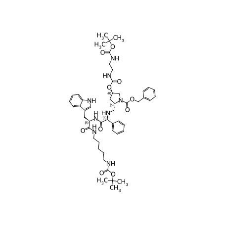 CC(C)(C)OC(=O)NCCCCCNC(=O)[C@@H](Cc1c[nH]c2ccccc12)NC(=O)[C@@H](NC[C@@H]1C[C@@H](OC(=O)NCCNC(=O)OC(C)(C)C)CN1C(=O)OCc1ccccc1)c1ccccc1